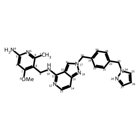 COc1cc(N)nc(C)c1CNc1nccc2nn(Cc3ccc(Cn4cccn4)cc3)cc12